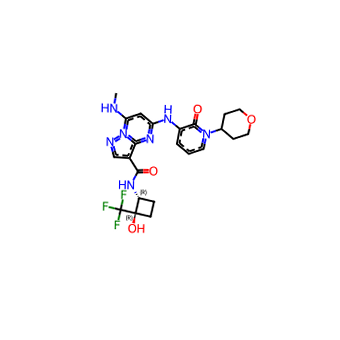 CNc1cc(Nc2cccn(C3CCOCC3)c2=O)nc2c(C(=O)N[C@@H]3CC[C@]3(O)C(F)(F)F)cnn12